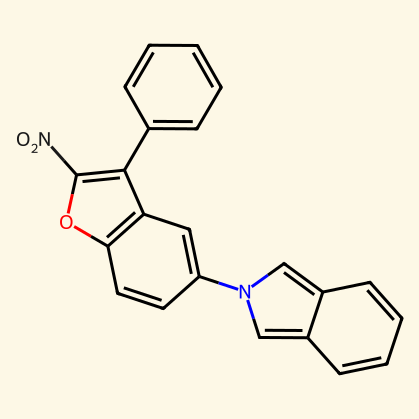 O=[N+]([O-])c1oc2ccc(-n3cc4ccccc4c3)cc2c1-c1ccccc1